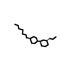 CCCCCCC[C@H]1CC[C@@H]([C@@H]2CCC[C@@H](CCC)C2)CC1